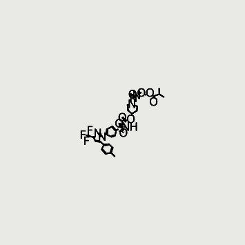 Cc1ccc(-c2cc(C(F)(F)F)nn2-c2ccc(S(=O)(=O)NC(=O)OC3CCN(n4on4OCOC(=O)C(C)C)CC3)cc2)cc1